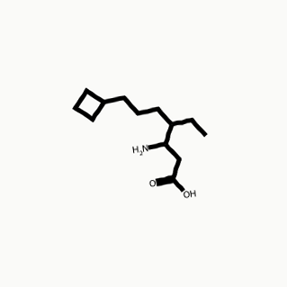 CCC(CCCC1CCC1)C(N)CC(=O)O